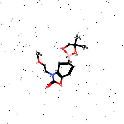 COCCn1c(=O)oc2ccc(B3OCC(C)(C)O3)cc21